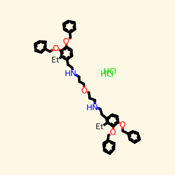 CCc1c(CCNCCCOCCCNCCc2ccc(OCc3ccccc3)c(OCc3ccccc3)c2CC)ccc(OCc2ccccc2)c1OCc1ccccc1.Cl.Cl